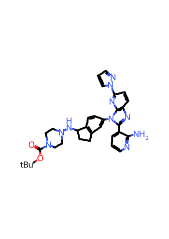 CC(C)(C)OC(=O)N1CCN(NC2CCc3cc(-n4c(-c5cccnc5N)nc5ccc(-n6cccn6)nc54)ccc32)CC1